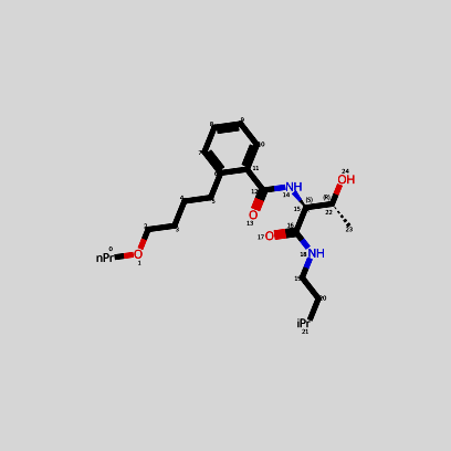 CCCOCCCCc1ccccc1C(=O)N[C@H](C(=O)N[CH]CC(C)C)[C@@H](C)O